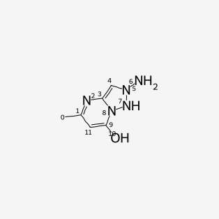 CC1=NC2=CN(N)NN2C(O)=C1